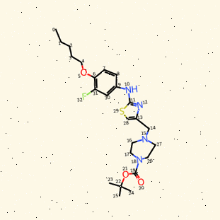 CCCCCOc1ccc(Nc2nc(CN3CCN(C(=O)OC(C)(C)C)CC3)cs2)cc1F